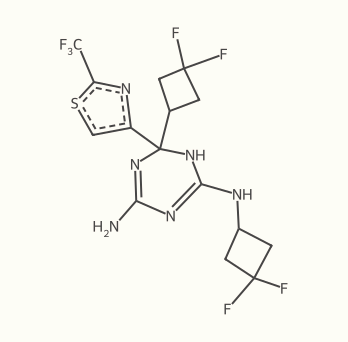 NC1=NC(c2csc(C(F)(F)F)n2)(C2CC(F)(F)C2)NC(NC2CC(F)(F)C2)=N1